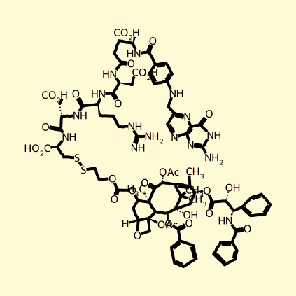 CC(=O)O[C@H]1C(=O)[C@]2(C)C(OC(=O)OCCSSC[C@H](NC(=O)[C@H](CC(=O)O)NC(=O)[C@H](CCCNC(=N)N)NC(=O)[C@H](CC(=O)O)NC(=O)CC[C@H](NC(=O)c3ccc(NCc4cnc5nc(N)[nH]c(=O)c5n4)cc3)C(=O)O)C(=O)O)C[C@H]3OC[C@@]3(OC(C)=O)C2[C@H](OC(=O)c2ccccc2)[C@]2(O)C[C@H](OC(=O)[C@H](O)[C@@H](NC(=O)c3ccccc3)c3ccccc3)C(C)=C1C2(C)C